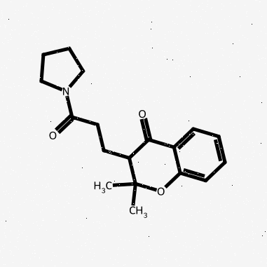 CC1(C)Oc2ccccc2C(=O)C1CCC(=O)N1CCCC1